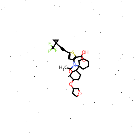 CC(=O)N(c1cc(C#CC2(C(F)(F)F)CC2)sc1C(=O)O)C1(C2CCC(OC3CCOC3)CC2)CCCCC1